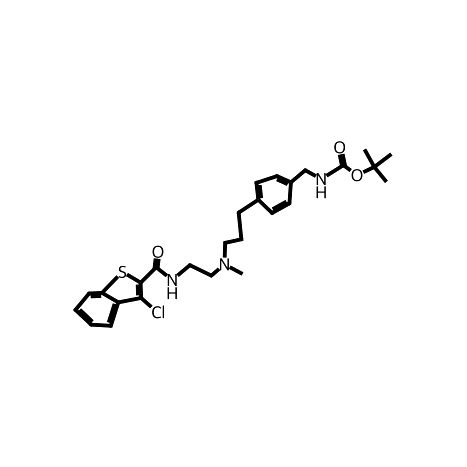 CN(CCCc1ccc(CNC(=O)OC(C)(C)C)cc1)CCNC(=O)c1sc2ccccc2c1Cl